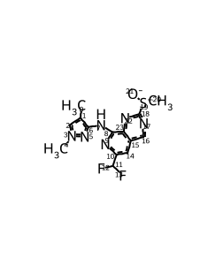 Cc1cn(C)nc1Nc1nc(C(F)F)cc2cnc([S+](C)[O-])nc12